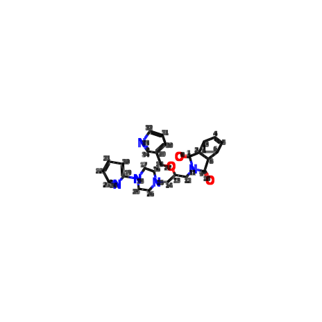 O=C1C2C3C=CC(C3)C2C(=O)N1CC(CN1CCN(c2ccccn2)CC1)OCc1cccnc1